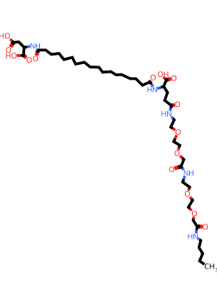 CCCCCNC(=O)COCCOCCNC(=O)COCCOCCNC(=O)CCC(NC(=O)CCCCCCCCCCCCCCCCC(=O)NC(CC(=O)O)C(=O)O)C(=O)O